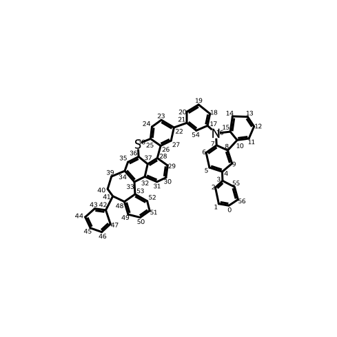 c1ccc(-c2ccc3c(c2)c2ccccc2n3-c2cccc(-c3ccc4c(c3)-c3cccc5c6c(cc(c35)S4)CCC(c3ccccc3)c3ccccc3-6)c2)cc1